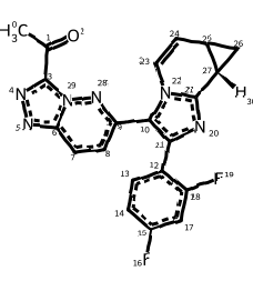 CC(=O)c1nnc2ccc(-c3c(-c4ccc(F)cc4F)nc4n3C=CC3C[C@H]43)nn12